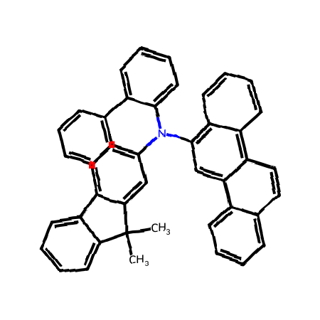 CC1(C)c2ccccc2-c2ccc(N(c3ccccc3-c3ccccc3)c3cc4c5ccccc5ccc4c4ccccc34)cc21